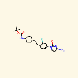 CC(C)(C)OC(=O)NC1CCC(CCc2ccc(-n3ccc(N)nc3=O)cc2F)CC1